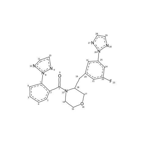 O=C(c1ccccc1-n1nccn1)N1CCOCC1Cc1cc(F)cc(-n2nccn2)c1